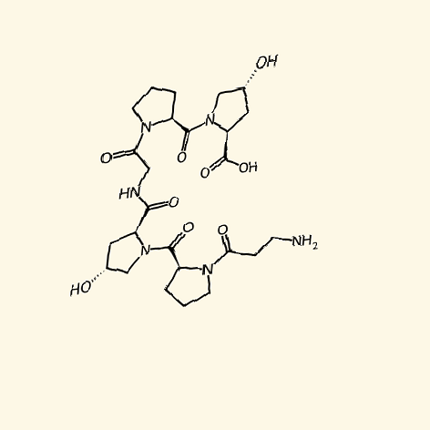 NCCC(=O)N1CCC[C@H]1C(=O)N1C[C@H](O)C[C@H]1C(=O)NCC(=O)N1CCC[C@H]1C(=O)N1C[C@H](O)C[C@H]1C(=O)O